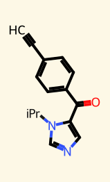 C#Cc1ccc(C(=O)c2cncn2C(C)C)cc1